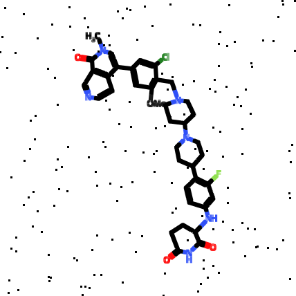 COc1cc(-c2cn(C)c(=O)c3cnccc23)cc(Cl)c1CN1CCC(N2CCC(c3ccc(NC4CCC(=O)NC4=O)cc3F)CC2)CC1